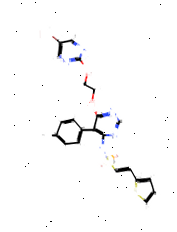 Cc1ccc(-c2c(NS(=O)(=O)C=Cc3cccs3)ncnc2OCCOc2ncc(Br)cn2)cc1